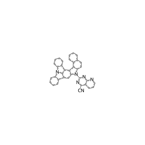 N#Cc1nc(-n2c3ccc4ccccc4c3c3c4c5ccccc5n5c6ccccc6c(cc32)c45)nc2ncccc12